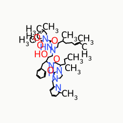 CCC(C)C(C(=O)NC(Cc1ccccc1)C(O)CN(CCC(C)CCC=C(C)C)NC(=O)N(CC(C)(C)C)C(=O)OC)N1CCN(Cc2cccc(C)n2)C1=O